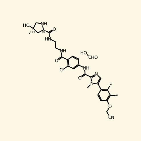 Cn1c(-c2ccc(OCC#N)c(F)c2F)cnc1C(=O)Nc1ccc(C(=O)NCCNC(=O)[C@H]2C[C@@](C)(O)CN2)c(Cl)c1.O=CO